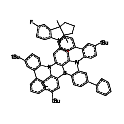 CC(C)(C)c1ccc2c(c1)B1c3ccc(-c4ccccc4)cc3N(c3ccc(C(C)(C)C)cc3-c3ccccc3)c3cc(N4c5ccc(F)cc5C5(C)CCCC45C)cc(c31)N2c1ccc(C(C)(C)C)cc1-c1ccccc1